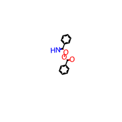 N=C(OOC(=O)c1ccccc1)c1ccccc1